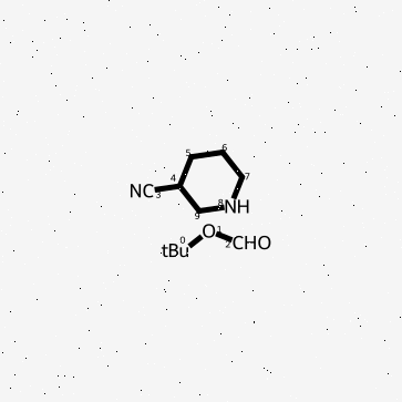 CC(C)(C)OC=O.N#CC1CCCNC1